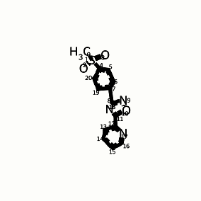 CS(=O)(=O)c1ccc(-c2noc(-c3ccccn3)n2)cc1